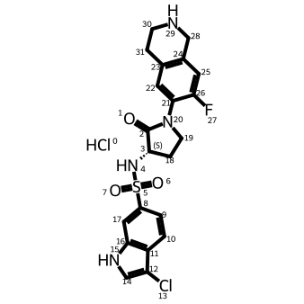 Cl.O=C1[C@@H](NS(=O)(=O)c2ccc3c(Cl)c[nH]c3c2)CCN1c1cc2c(cc1F)CNCC2